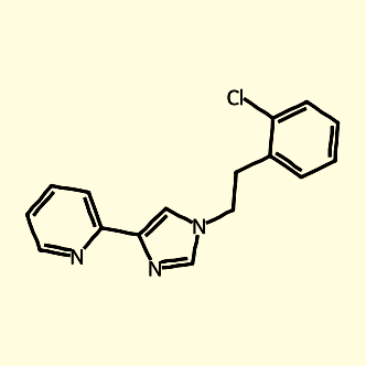 Clc1ccccc1CCn1cnc(-c2ccccn2)c1